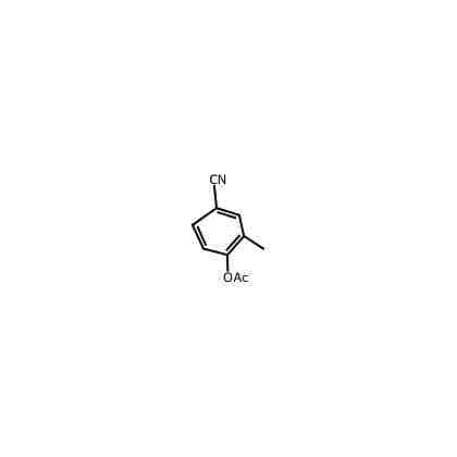 CC(=O)Oc1ccc(C#N)cc1C